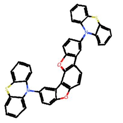 c1ccc2c(c1)Sc1ccccc1N2c1ccc2oc3c(ccc4oc5ccc(N6c7ccccc7Sc7ccccc76)cc5c43)c2c1